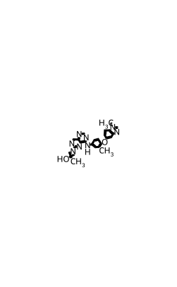 Cc1cc(Nc2ncnc3cnc(N4CC(C)(O)C4)nc23)ccc1Oc1ccc2c(c1)ncn2C